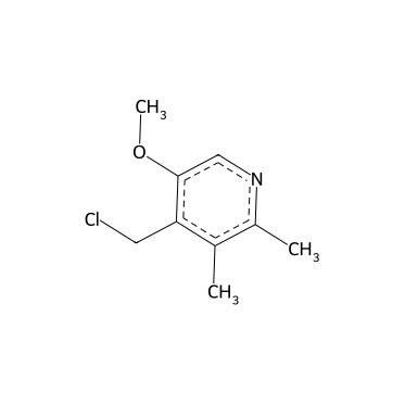 COc1cnc(C)c(C)c1CCl